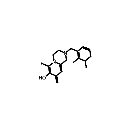 C=C1C=C2CN(CC3=C(C)C(C)CC=C3)CCN2C(F)=C1O